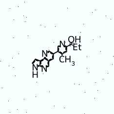 CC[C@@H](O)c1cc(C)c(-c2cnc3c(cnc4[nH]ccc43)c2)cn1